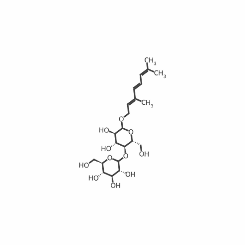 CC(C)=C/C=C/C(C)=C/COC1O[C@H](CO)[C@@H](OC2O[C@H](CO)[C@@H](O)[C@H](O)[C@H]2O)[C@H](O)[C@H]1O